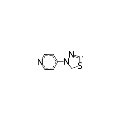 [C]1=NN(c2ccncc2)CS1